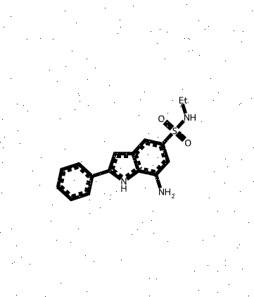 CCNS(=O)(=O)c1cc(N)c2[nH]c(-c3ccccc3)cc2c1